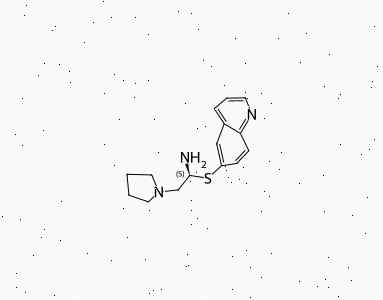 N[C@H](CN1CCCC1)Sc1ccc2ncccc2c1